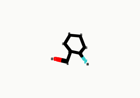 O=CC1CCCCC1F